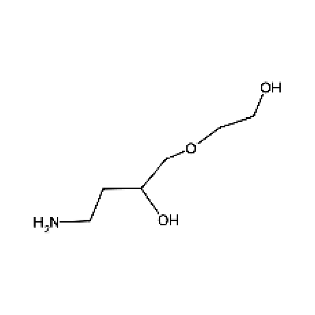 NCCC(O)COCCO